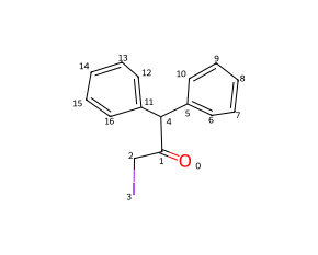 O=C(CI)C(c1ccccc1)c1ccccc1